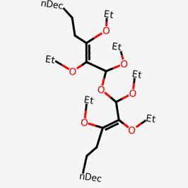 CCCCCCCCCCCCC(OCC)=C(OCC)C(OCC)OC(OCC)C(OCC)=C(CCCCCCCCCCCC)OCC